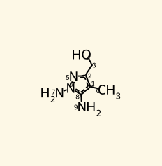 Cc1c(CO)nn(N)c1N